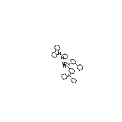 c1ccc(-c2cccc(-n3c(-c4cccc(N(c5ccccc5)c5ccccc5)c4)nnc3-c3cccc(-n4c5ccccc5c5ccccc54)n3)c2)cc1